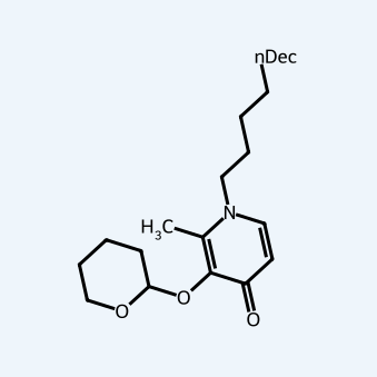 CCCCCCCCCCCCCCn1ccc(=O)c(OC2CCCCO2)c1C